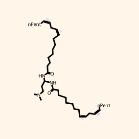 CCCCC/C=C\C/C=C\CCCCCCCC(=O)NC(CCN(C)C)NC(=O)CCCCCCC/C=C\C/C=C\CCCCC